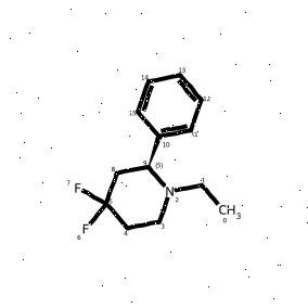 CCN1CCC(F)(F)C[C@H]1c1ccccc1